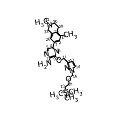 Cc1cc(-c2cnc(N)c(OCc3ccn(COCC[Si](C)(C)C)n3)n2)cc2c1CCN(C)C2